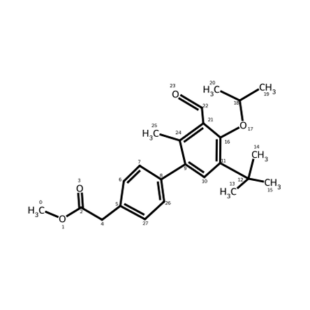 COC(=O)Cc1ccc(-c2cc(C(C)(C)C)c(OC(C)C)c(C=O)c2C)cc1